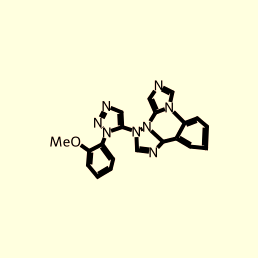 COc1ccccc1-n1nncc1N1C=NC2c3ccccc3-n3cncc3N21